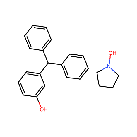 ON1CCCC1.Oc1cccc(C(c2ccccc2)c2ccccc2)c1